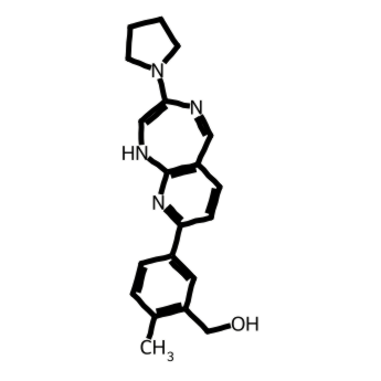 Cc1ccc(-c2ccc3c(n2)NC=C(N2CCCC2)N=C3)cc1CO